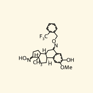 COc1cc2c(cc1O)C(=NOCc1ccccc1C(F)(F)F)C[C@@H]1[C@@H]2CC[C@]2(C)C(=NO)CC[C@@H]12